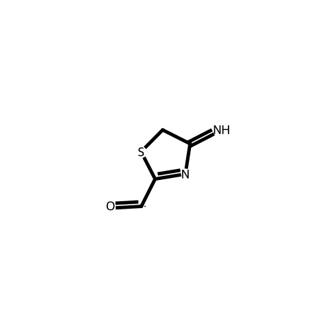 N=C1CSC([C]=O)=N1